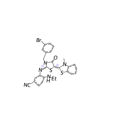 CCNc1ccc(C#N)cc1/N=C1\S/C(=C2\Sc3ccccc3N2C)C(=O)N1Cc1cccc(Br)c1